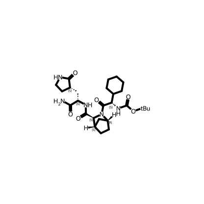 CC(C)(C)OC(=O)N[C@H](C(=O)N1[C@@H]2CC[C@@H](C2)[C@H]1C(=O)N[C@@H](C[C@@H]1CCNC1=O)C(N)=O)C1CCCCC1